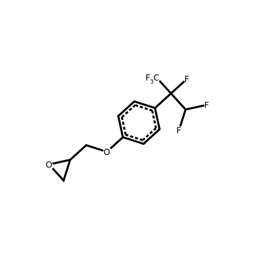 FC(F)C(F)(c1ccc(OCC2CO2)cc1)C(F)(F)F